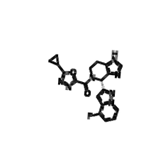 O=C(c1nnc(C2CC2)o1)N1CCc2[nH]cnc2[C@@H]1c1cc2c(F)cccn2n1